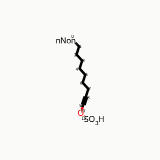 CCCCCCCCCCCCCCCCC#COS(=O)(=O)O